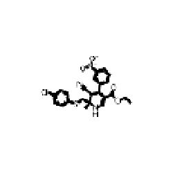 CCOC(=O)C1=CNC(C)(CSc2ccc(Cl)cc2)C(C#N)C1c1cccc([N+](=O)[O-])c1